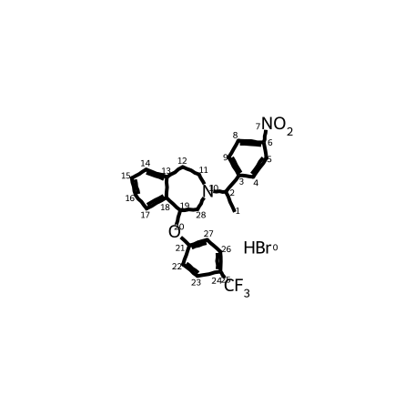 Br.CC(c1ccc([N+](=O)[O-])cc1)N1CCc2ccccc2C(Oc2ccc(C(F)(F)F)cc2)C1